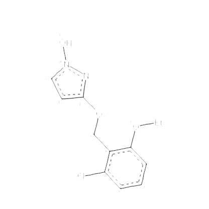 CCOc1cccc(Cl)c1COc1ccn(O)n1